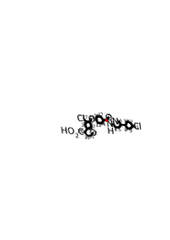 O=C(Nc1ccc(-c2ccc(Cl)cc2)cn1)c1ccc(Oc2cc3c(cc2Cl)C(C(=O)O)CCO3)cc1